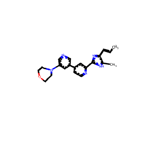 C/C=C/c1nc(-c2cc(-c3cncc(N4CCOCC4)c3)ccn2)[nH]c1C